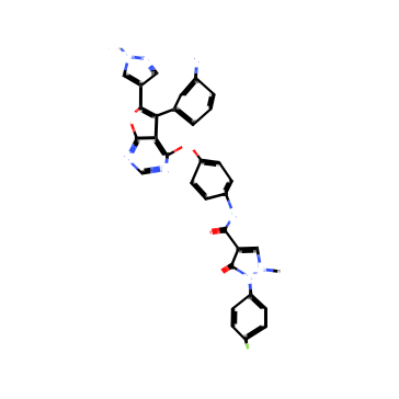 Cn1cc(-c2oc3ncnc(Oc4ccc(NC(=O)c5cn(C)n(-c6ccc(F)cc6)c5=O)cc4)c3c2-c2cccc(N)c2)cn1